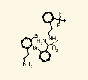 CC(N)c1ccccc1Br.NCCc1cccc(Br)c1.NCCc1ccccc1C(F)(F)F